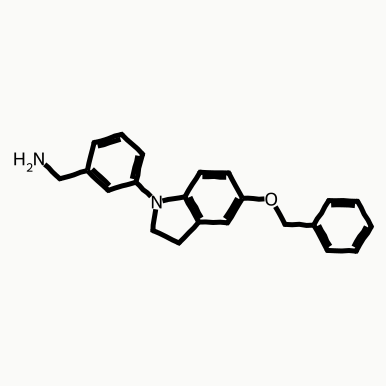 NCc1cccc(N2CCc3cc(OCc4ccccc4)ccc32)c1